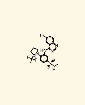 CNS(=O)(=O)c1ccc(N2CCC[C@@H]2C(F)(F)F)c(Nc2ncnc3ccc(Cl)cc23)c1